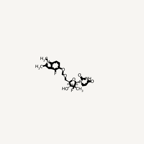 Cc1cc2c(F)c(OCOC[C@H]3O[C@@H](n4ccc(=O)[nH]c4=O)[C@](C)(F)[C@@H]3O)ccc2n1C